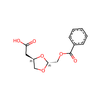 O=C(O)C[C@@H]1CO[C@@H](COC(=O)c2ccccc2)O1